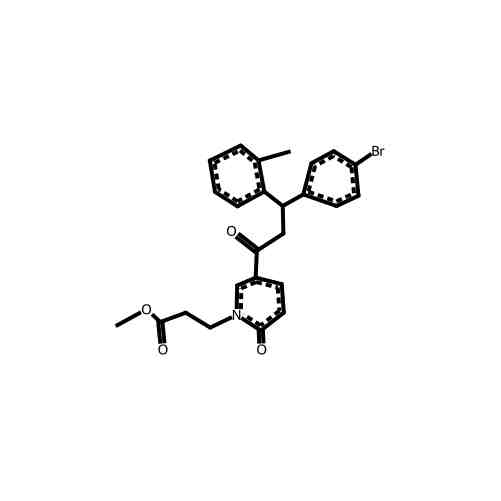 COC(=O)CCn1cc(C(=O)CC(c2ccc(Br)cc2)c2ccccc2C)ccc1=O